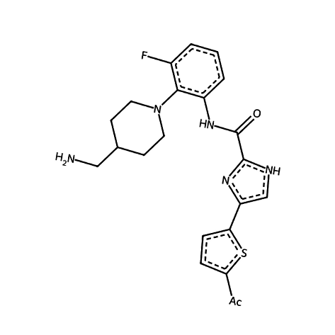 CC(=O)c1ccc(-c2c[nH]c(C(=O)Nc3cccc(F)c3N3CCC(CN)CC3)n2)s1